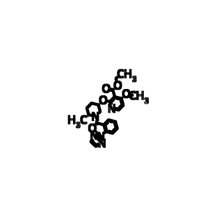 CCOC(=O)c1c(OC)ccnc1O[C@@H]1CC[C@@H](C)N(C(=O)c2ccccc2-n2nccn2)C1